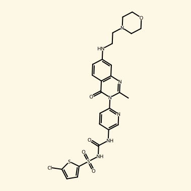 Cc1nc2cc(NCCN3CCOCC3)ccc2c(=O)n1-c1ccc(NC(=O)NS(=O)(=O)c2ccc(Cl)s2)cn1